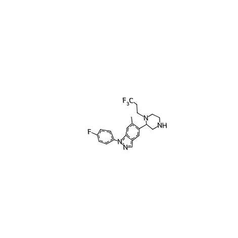 Cc1cc2c(cnn2-c2ccc(F)cc2)cc1C1CNCCN1CCC(F)(F)F